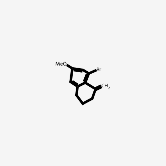 C=C1CCCc2cc(OC)cc(Br)c21